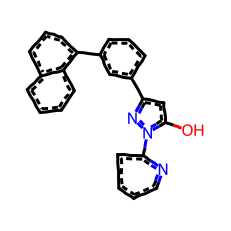 Oc1cc(-c2cccc(-c3cccc4ccccc34)c2)nn1-c1ccccn1